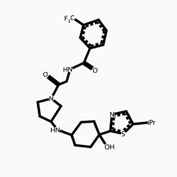 CC(C)c1cnc(C2(O)CCC(NC3CCN(C(=O)CNC(=O)c4cccc(C(F)(F)F)c4)C3)CC2)s1